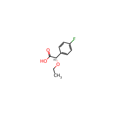 CCO[C@H](C(=O)O)c1ccc(F)cc1